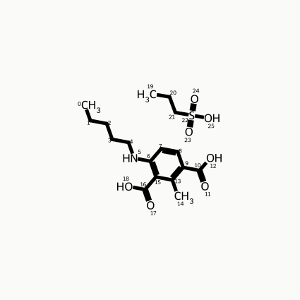 CCCCCNc1ccc(C(=O)O)c(C)c1C(=O)O.CCCS(=O)(=O)O